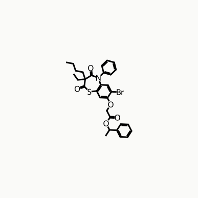 CCCCC1(CC)C(=O)Sc2cc(OCC(=O)OC(C)c3ccccc3)c(Br)cc2N(c2ccccc2)C1=O